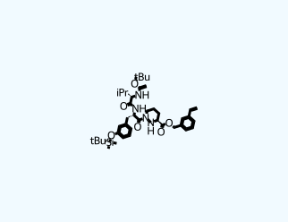 C=Cc1cccc(COC(=O)[C@@H]2CCCN(C(=O)[C@H](Cc3cccc(O[Si](C)(C)C(C)(C)C)c3)NC(=O)[C@@H](NC(=C)OC(C)(C)C)C(C)C)N2)c1